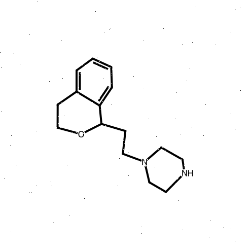 c1ccc2c(c1)CCOC2CCN1CCNCC1